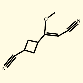 COC(=CC#N)C1CC(C#N)C1